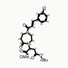 COC(=O)C(CC(=O)OC(C)(C)C)N1CCN(C(=O)/C=C/c2cccc(Cl)c2)CCC1=O